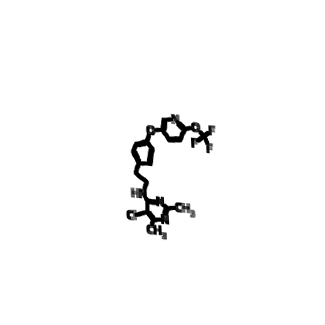 Cc1nc(C)c(Cl)c(NCCc2ccc(Oc3ccc(OC(F)(F)F)nc3)cc2)n1